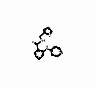 O=C(NCc1ccco1)c1ccccc1Nc1ccncc1